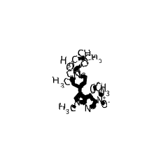 COc1c([N+](=O)[O-])cnc2c1c(C1=CCN(C(=O)OC(C)(C)C)C(C)(C)C1)cn2C